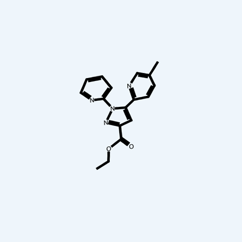 CCOC(=O)c1cc(-c2ccc(C)cn2)n(-c2ccccn2)n1